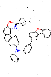 c1ccc(-c2nc3c(ccc4ccc5cc(N(c6ccccc6)c6cccc(-c7ccc8oc9ccccc9c8c7)c6)ccc5c43)o2)cc1